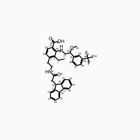 CCc1c(CCNC(=O)CC2c3ccccc3-c3ccccc32)ccc(C(=O)O)c1NCC(OC)c1cccc(C(F)(F)F)c1